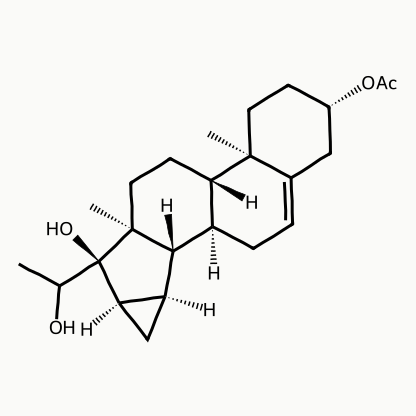 CC(=O)O[C@H]1CC[C@@]2(C)C(=CC[C@H]3[C@@H]4[C@H]5C[C@H]5[C@](O)(C(C)O)[C@@]4(C)CC[C@@H]32)C1